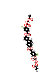 C=CC(=O)OCOC(=O)Oc1ccc(C(=O)Oc2ccc3c(c2)C(C)(C)c2cc(OC(=O)c4ccc(OC(=O)OCOC(=O)C=C)c(F)c4)ccc2-3)cc1F